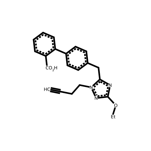 C#CCCn1nc(OCC)nc1Cc1ccc(-c2ccccc2C(=O)O)cc1